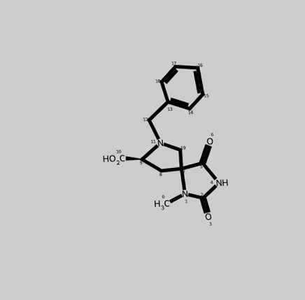 CN1C(=O)NC(=O)C12C[C@@H](C(=O)O)N(Cc1ccccc1)C2